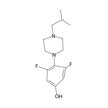 C[C](C)CN1CCN(c2c(F)cc(O)cc2F)CC1